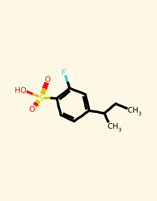 CCC(C)c1ccc(S(=O)(=O)O)c(F)c1